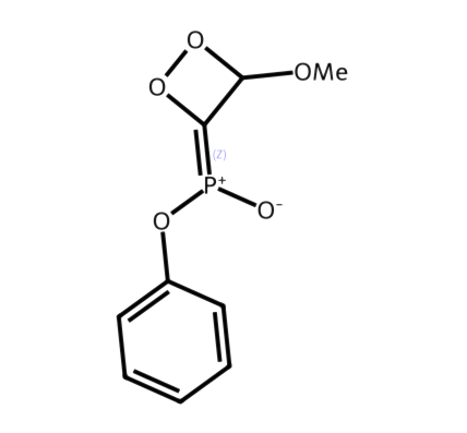 COC1OO/C1=[P+](/[O-])Oc1ccccc1